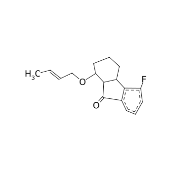 CC=CCOC1CCCC2c3c(F)cccc3C(=O)C12